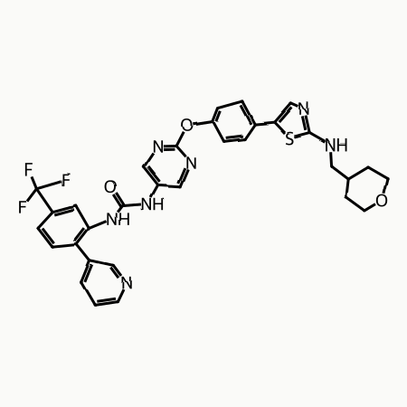 O=C(Nc1cnc(Oc2ccc(-c3cnc(NCC4CCOCC4)s3)cc2)nc1)Nc1cc(C(F)(F)F)ccc1-c1cccnc1